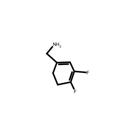 NCC1=CC(F)=C(F)CC1